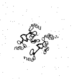 CCCCOC(=O)c1ccc(C(=O)OCCCC)c(S(=O)(=O)[O-])c1.CCCCOC(=O)c1ccc(C(=O)OCCCC)c(S(=O)(=O)[O-])c1.[Ca+2]